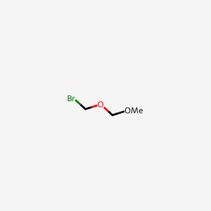 COCOCBr